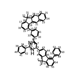 CC1(C)c2cc(C(/C=C/c3cccc(-c4cccc5c4-c4cc6ccccc6cc4C5(C)C)c3)NC(N)c3ccccc3)ccc2-c2c(-c3ccccc3)cccc21